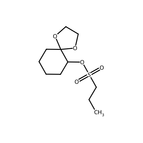 CCCS(=O)(=O)OC1CCCCC12OCCO2